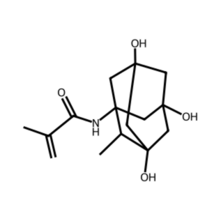 C=C(C)C(=O)NC12CC3(O)CC(O)(CC(O)(C3)C1C)C2